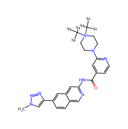 [2H]C([2H])([2H])[N+]1(C([2H])([2H])[2H])CCN(c2cc(C(=O)Nc3cc4cc(-c5cn(C)nn5)ccc4cn3)ccn2)CC1